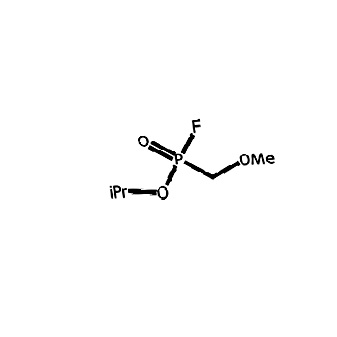 COCP(=O)(F)OC(C)C